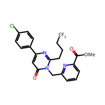 COC(=O)c1cccc(Cn2c(CCCC(F)(F)F)nc(-c3ccc(Cl)cc3)cc2=O)n1